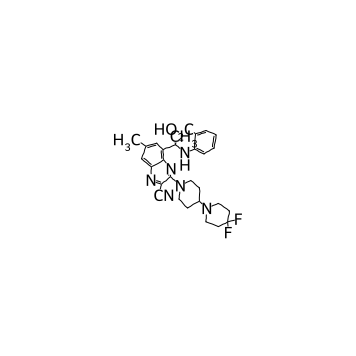 Cc1cc([C@@H](C)Nc2ccccc2C(=O)O)c2nc(N3CCC(N4CCC(F)(F)CC4)CC3)c(C#N)nc2c1